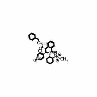 CS(=O)(=O)N[C@H]1CCCC[C@@H]1N1C(=O)c2ccccc2[C@@H](C(=O)NOCc2ccccc2)[C@@H]1c1cc[n+]([O-])cc1Cl